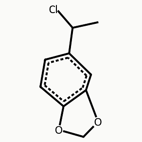 CC(Cl)c1ccc2c(c1)OCO2